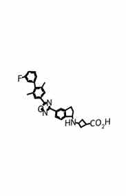 Cc1cc(-c2nc(-c3ccc4c(c3)CCC4NC3CC(C(=O)O)C3)no2)cc(C)c1-c1cccc(F)c1